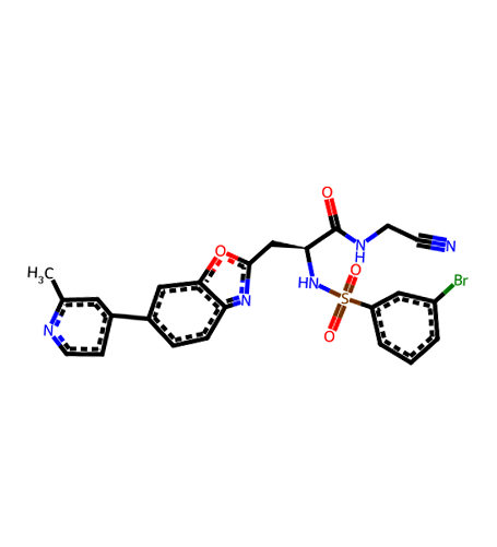 Cc1cc(-c2ccc3nc(C[C@H](NS(=O)(=O)c4cccc(Br)c4)C(=O)NCC#N)oc3c2)ccn1